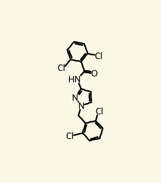 O=C(Nc1ccn(Cc2c(Cl)cccc2Cl)n1)c1c(Cl)cccc1Cl